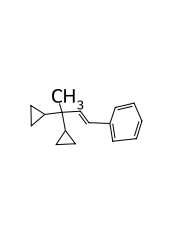 CC(C=Cc1ccccc1)(C1CC1)C1CC1